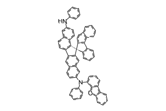 c1ccc(Nc2ccc3c4c(ccc3c2)-c2cc3ccc(N(c5ccccc5)c5cccc6c5oc5ccccc56)cc3cc2C42c3ccccc3-c3c2ccc2ccccc32)cc1